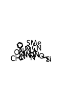 CS[C@H]1CC(c2nn3ccc(Cl)c3c(=O)n2-c2ccccc2)N(c2ncnc3c2c(C#N)cn3COCC[Si](C)(C)C)C1